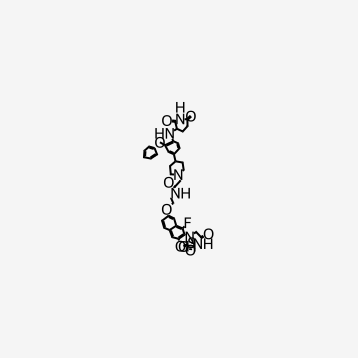 O=C(CN1CCC(c2ccc(NC3CCC(=O)NC3=O)c(Oc3ccccc3)c2)CC1)NCCOc1ccc2cc(O)c(N3CC(=O)NS3(=O)=O)c(F)c2c1